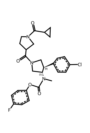 CN(C(=O)Oc1ccc(F)cc1)[C@@H]1CN(C(=O)C2CCN(C(=O)C3CC3)C2)C[C@H]1c1ccc(Cl)cc1